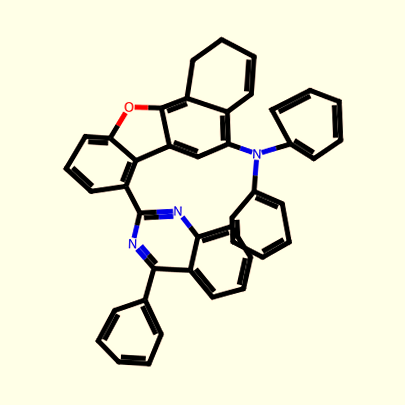 C1=Cc2c(N(c3ccccc3)c3ccccc3)cc3c(oc4cccc(-c5nc(-c6ccccc6)c6ccccc6n5)c43)c2CC1